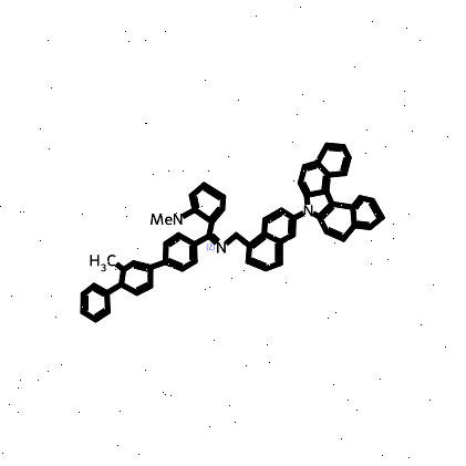 CNc1ccccc1/C(=N\Cc1cccc2cc(-n3c4ccc5ccccc5c4c4c5ccccc5ccc43)ccc12)c1ccc(C2=CC(C)C(c3ccccc3)C=C2)cc1